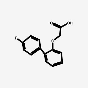 O=C(O)COc1ccccc1-c1ccc(F)cc1